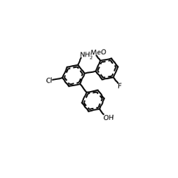 COc1ccc(F)cc1-c1c(N)cc(Cl)cc1-c1ccc(O)cc1